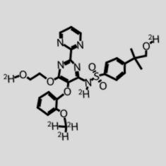 [2H]OCCOc1nc(-c2ncccn2)nc(N([2H])S(=O)(=O)c2ccc(C(C)(C)CO[2H])cc2)c1Oc1ccccc1OC([2H])([2H])[2H]